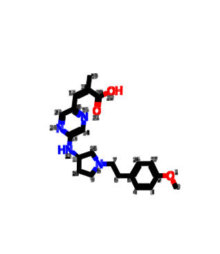 COc1ccc(CCN2CC[C@@H](Nc3cnc(C=C(C)C(=O)O)cn3)C2)cc1